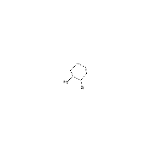 OC1C[CH]CCC1Cl